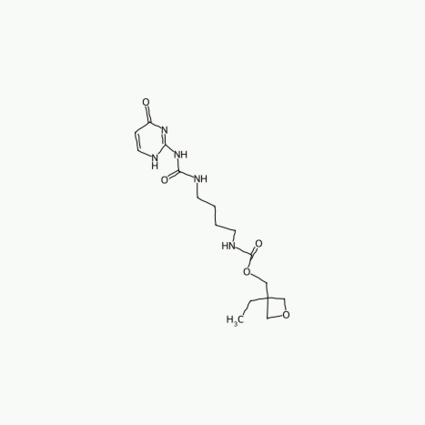 CCC1(COC(=O)NCCCCNC(=O)Nc2nc(=O)cc[nH]2)COC1